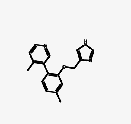 Cc1ccc(-c2cnccc2C)c(OCc2c[nH]cn2)c1